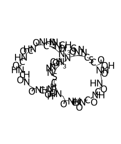 Cn1nnc2c1C(=O)N1CN3CN(C1)C(=O)c1c(nnn1C)SC[C@H](NC(=O)CNC(=O)CNC(=O)CNC(=O)CNC(=O)CNC(=O)[C@@H](N)Cc1nnn(C)c1C3=O)C(=O)NCC(=O)NCC(=O)NCC(=O)NCC(=O)NCC(=O)N[C@H](C(=O)O)CSC2